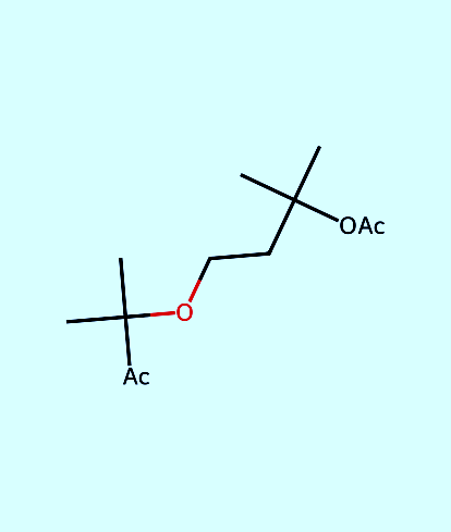 CC(=O)OC(C)(C)CCOC(C)(C)C(C)=O